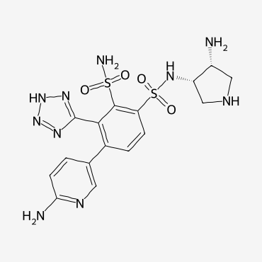 Nc1ccc(-c2ccc(S(=O)(=O)N[C@H]3CNC[C@H]3N)c(S(N)(=O)=O)c2-c2nn[nH]n2)cn1